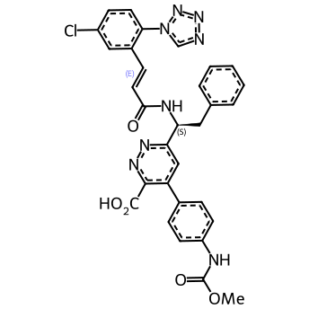 COC(=O)Nc1ccc(-c2cc([C@H](Cc3ccccc3)NC(=O)/C=C/c3cc(Cl)ccc3-n3cnnn3)nnc2C(=O)O)cc1